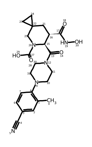 Cc1cc(C#N)ccc1N1CCN(C(=O)[C@@H]2[C@@H](C(=O)NO)CC3(CC3)CN2C(=O)O)CC1